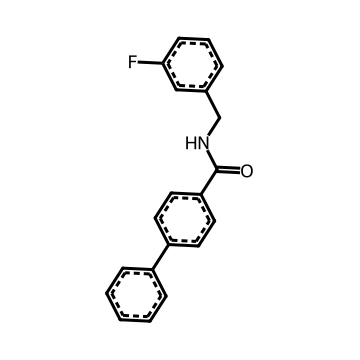 O=C(NCc1cccc(F)c1)c1ccc(-c2ccccc2)cc1